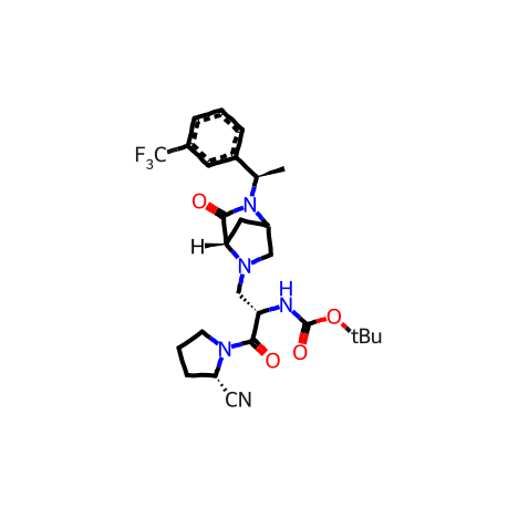 C[C@H](c1cccc(C(F)(F)F)c1)N1C(=O)[C@@H]2CC1CN2C[C@H](NC(=O)OC(C)(C)C)C(=O)N1CCC[C@H]1C#N